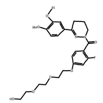 CCOc1cc(C2=NN(C(=O)c3ccc(OCCOCCOCCO)cc3F)CCC2)ccc1OC